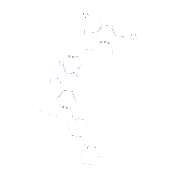 CCOc1cc(Nc2ncc(OCc3c(F)c(OC)cc(OC)c3F)cn2)ccc1N1CCC(N2CCOCC2)CC1